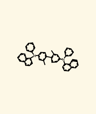 Cc1cc(N(c2ccccc2)c2cccc3ccc#cc23)ccc1-c1ccc(N(c2ccccc2)c2cccc3ccccc23)cc1C